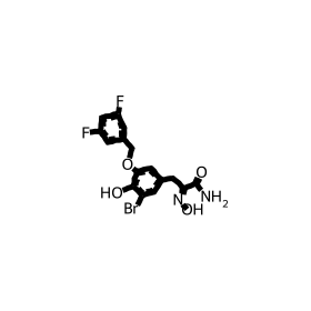 NC(=O)C(Cc1cc(Br)c(O)c(OCc2cc(F)cc(F)c2)c1)=NO